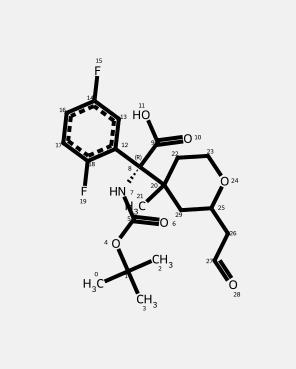 CC(C)(C)OC(=O)N[C@@](C(=O)O)(c1cc(F)ccc1F)C1(C)CCOC(CC=O)C1